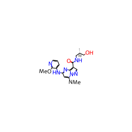 CNc1cc(Nc2cccnc2OC)nc2c(C(=O)NC[C@H](C)CO)cnn12